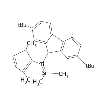 CC1=[C]([Ti]([CH]2c3cc(C(C)(C)C)ccc3-c3ccc(C(C)(C)C)cc32)=[Si](C)C)C(C)C=C1